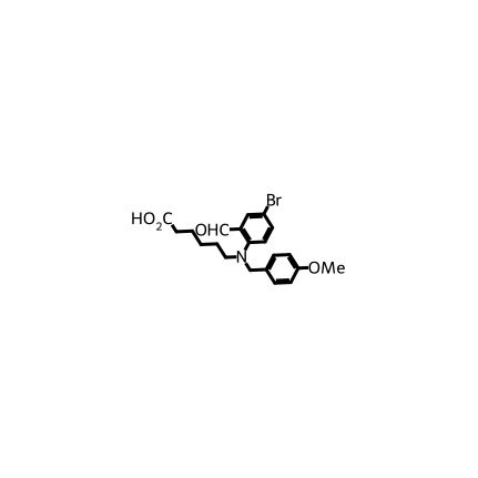 COc1ccc(CN(CCCCCC(=O)O)c2ccc(Br)cc2C=O)cc1